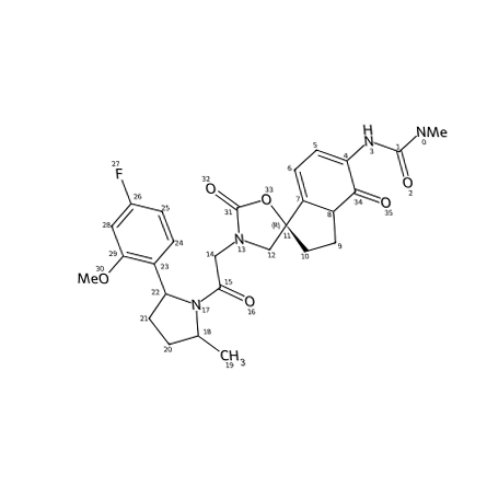 CNC(=O)NC1=CC=C2C(CC[C@]23CN(CC(=O)N2C(C)CCC2c2ccc(F)cc2OC)C(=O)O3)C1=O